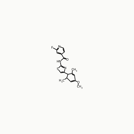 COC1=CC(C)C(c2csc(NC(=O)c3ccnc(F)c3)n2)C(C)=C1